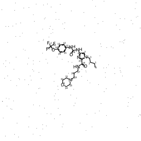 CCCCn1cc(NC(=O)Nc2ccc(OC(F)(F)F)cc2)nc1C(=O)NCCCN1CCOCC1